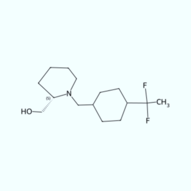 CC(F)(F)C1CCC(CN2CCCC[C@H]2CO)CC1